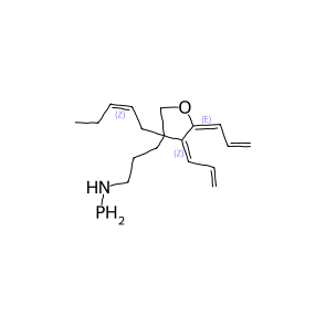 C=C/C=C1\C(=C/C=C)OCC1(C/C=C\CC)CCCNP